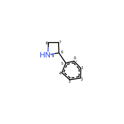 [c]1ccccc1C1CCN1